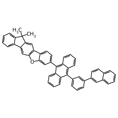 CC1(C)c2ccccc2-c2cc3oc4cc(-c5c6ccccc6c(-c6cccc(-c7ccc8ccccc8c7)c6)c6ccccc56)ccc4c3cc21